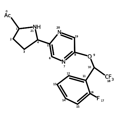 CC(=O)C1CCC(c2cnc(OC(c3ccccc3F)C(F)(F)F)cn2)N1